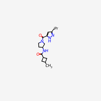 CC1CC(C(=O)NC2CCN(C(=O)c3cc(C(C)C)n[nH]3)C2)C1